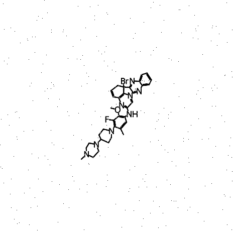 COc1c(Nc2cnc3c(n2)C=CCC3(Br)c2cnc3ccccc3n2)cc(C)c(N2CCC(N3CCN(C)CC3)CC2)c1F